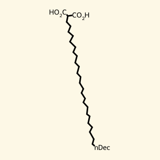 CCCCCCCCCCCCCCCCCCCCCCCCCCCCCCCCCCCC(C(=O)O)C(=O)O